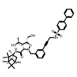 C[C@@H]1[C@@H](NC(=O)C2[C@H]([C@H](C)O)[C@H](CO)ON2Cc2cccc(C#CCNS(=O)(=O)c3ccc(-c4ccccc4)cc3)c2)C[C@H]2C[C@@H]1C2(C)C